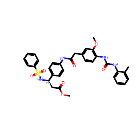 COC(=O)C[C@@H](NS(=O)(=O)c1ccccc1)c1ccc(NC(=O)Cc2ccc(NC(=O)Nc3ccccc3C)c(OC)c2)cc1